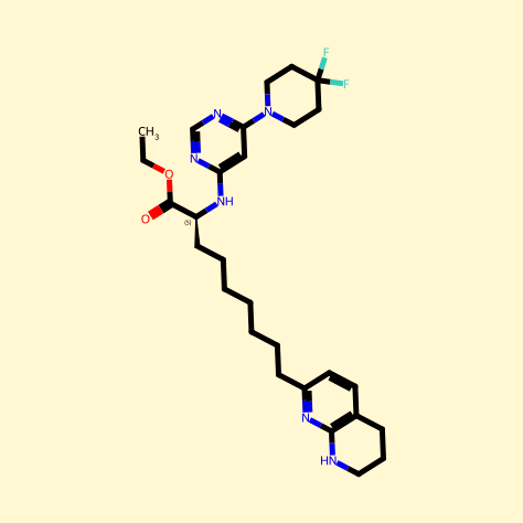 CCOC(=O)[C@H](CCCCCCCc1ccc2c(n1)NCCC2)Nc1cc(N2CCC(F)(F)CC2)ncn1